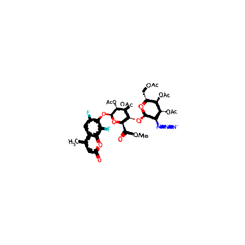 COC(=O)[C@H]1O[C@@H](Oc2c(F)cc3c(C)cc(=O)oc3c2F)[C@H](OC(C)=O)C(OC(C)=O)[C@@H]1O[C@H]1O[C@H](COC(C)=O)[C@@H](OC(C)=O)[C@H](OC(C)=O)[C@H]1N=[N+]=[N-]